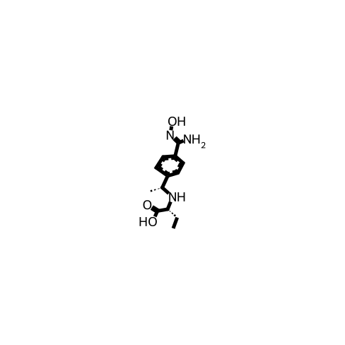 CC[C@@H](N[C@H](C)c1ccc(C(N)=NO)cc1)C(=O)O